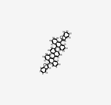 c1ccc2oc(-c3c4ccccc4c(-c4cccc5c(-c6c7ccccc7c(-c7cc8ccccc8o7)c7ccccc67)cccc45)c4ccccc34)cc2c1